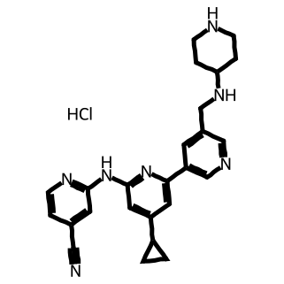 Cl.N#Cc1ccnc(Nc2cc(C3CC3)cc(-c3cncc(CNC4CCNCC4)c3)n2)c1